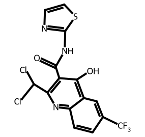 O=C(Nc1nccs1)c1c(C(Cl)Cl)nc2ccc(C(F)(F)F)cc2c1O